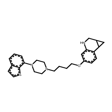 c1cc(N2CCN(CCCCOc3ccc4c(c3)NCC3CC43)CC2)c2sccc2c1